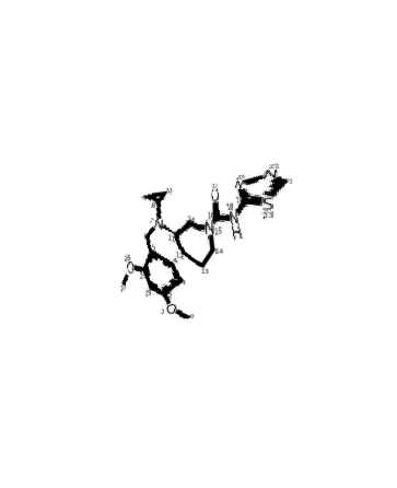 COc1ccc(CN(C2CC2)[C@@H]2CCCN(C(=O)Nc3nncs3)C2)c(OC)c1